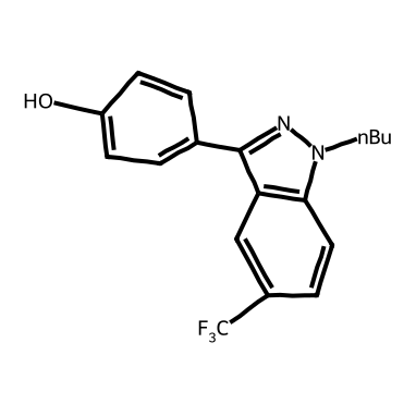 CCCCn1nc(-c2ccc(O)cc2)c2cc(C(F)(F)F)ccc21